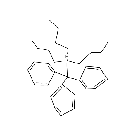 CCCC[PH](CCCC)(CCCC)C(c1ccccc1)(c1ccccc1)c1ccccc1